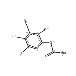 CC(C)(C)C(=O)Oc1cc(F)c(F)c(F)c1F